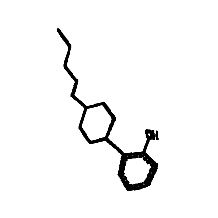 CCCCCC1CCC(c2ccccc2O)CC1